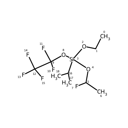 CCO[Si](OC(C)F)(OC(F)(F)C(F)(F)F)C(C)C